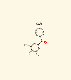 COc1ccc(C(=O)c2cc(C(C)C)c(O)c(C(C)C)c2)cc1